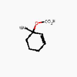 CC(C)(C)C1(OC(=O)O)C=CCCC1